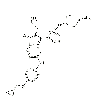 C=CCn1c(=O)c2cnc(Nc3ccc(OCC4CC4)cc3)nc2n1-c1cccc(OC2CCN(C)CC2)n1